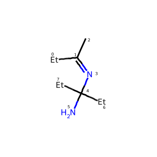 CC/C(C)=N\C(N)(CC)CC